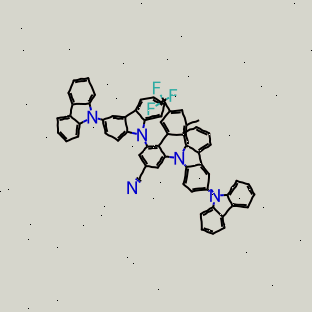 Cc1cc(-c2c(-n3c4ccccc4c4cc(-n5c6ccccc6c6ccccc65)ccc43)cc(C#N)cc2-n2c3ccccc3c3cc(-n4c5ccccc5c5ccccc54)ccc32)cc(C(F)(F)F)c1